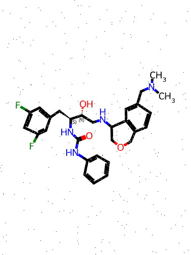 CN(C)Cc1ccc2c(c1)C(NC[C@@H](O)[C@H](Cc1cc(F)cc(F)c1)NC(=O)Nc1ccccc1)COC2